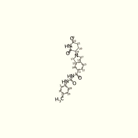 Cc1ccc(NC(=O)NC(=O)c2ccc3c(c2)CN(C2CCC(=O)NC2=O)C3)cc1